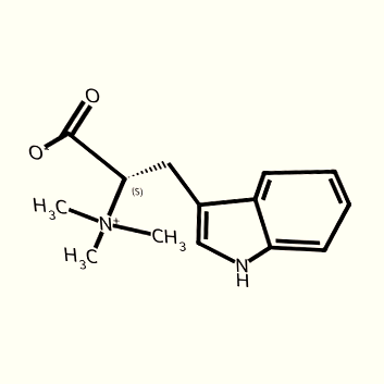 C[N+](C)(C)[C@@H](Cc1c[nH]c2ccccc12)C(=O)[O-]